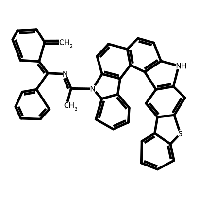 C=c1cccc/c1=C(/N=C(\C)n1c2ccccc2c2c3c(ccc4[nH]c5cc6sc7ccccc7c6cc5c43)ccc21)c1ccccc1